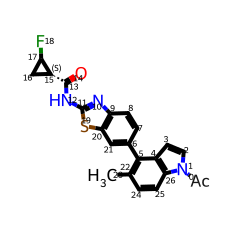 CC(=O)n1ccc2c(-c3ccc4nc(NC(=O)[C@@H]5CC5F)sc4c3)c(C)ccc21